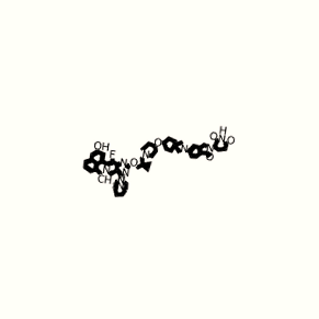 CCc1cccc2cc(O)cc(-c3ncc4c(N5CC6CCC(C5)N6)nc(OCC5(CN6CCC(OC7CCC8(CC7)CN(c7ccc9c(c7)CN(C7CCC(=O)NC7=O)C9=O)C8)CC6)CC5)nc4c3F)c12